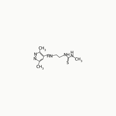 CNC(=S)NCCNCc1cc(C)nnc1C